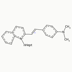 CCCCCCC[n+]1c(/C=C/c2ccc(N(C)C)cc2)ccc2ccccc21